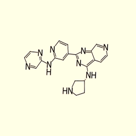 c1cnc(Nc2cc(-c3nc(N[C@@H]4CCNC4)c4ccncc4n3)ccn2)cn1